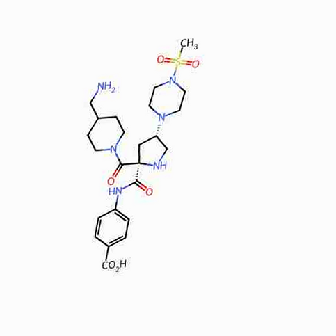 CS(=O)(=O)N1CCN([C@@H]2CN[C@@](C(=O)Nc3ccc(C(=O)O)cc3)(C(=O)N3CCC(CN)CC3)C2)CC1